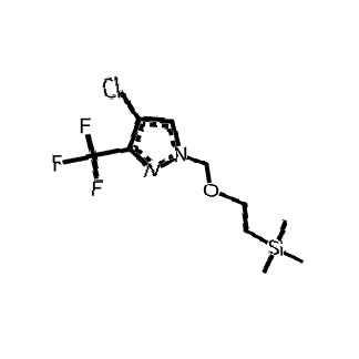 C[Si](C)(C)CCOCn1cc(Cl)c(C(F)(F)F)n1